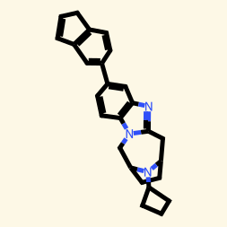 C1=Cc2cc(-c3ccc4c(c3)nc3n4CC4CCC(C3)N4C3CCC3)ccc2C1